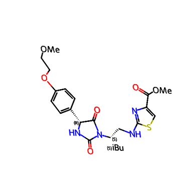 CC[C@H](C)[C@@H](CNc1nc(C(=O)OC)cs1)N1C(=O)N[C@H](c2ccc(OCCOC)cc2)C1=O